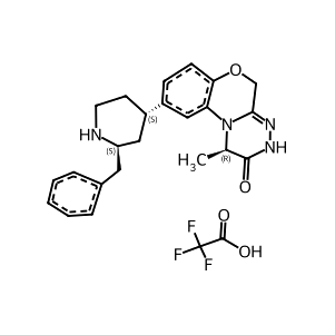 C[C@@H]1C(=O)NN=C2COc3ccc([C@H]4CCN[C@H](Cc5ccccc5)C4)cc3N21.O=C(O)C(F)(F)F